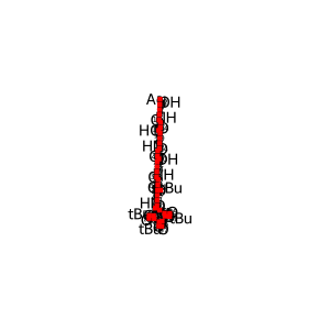 CC(=O)N(O)CCCCCNC(=O)CCC(=O)N(O)CCCCCNC(=O)CCC(=O)N(O)CCCCCNC(=O)CCCC(=O)N(CCCCNC(=O)CN1CCN(CC(=O)OC(C)(C)C)CCN(CC(=O)OC(C)(C)C)CCN(CC(=O)OC(C)(C)C)CC1)OC(C)(C)C